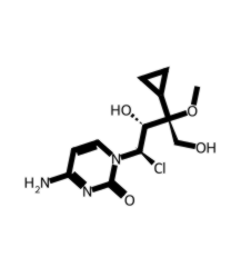 CO[C@@](CO)(C1CC1)[C@@H](O)[C@@H](Cl)n1ccc(N)nc1=O